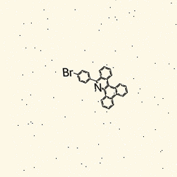 Brc1ccc(-c2nc3c4ccccc4c4ccccc4c3c3ccccc23)cc1